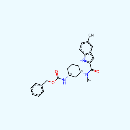 CCN(C(=O)c1cc2cc(C#N)ccc2[nH]1)[C@H]1CCC[C@@H](NC(=O)OCc2ccccc2)C1